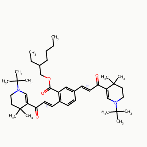 CCCCC(CC)COC(=O)c1cc(/C=C/C(=O)C2=CN(C(C)(C)C)CCC2(C)C)ccc1/C=C/C(=O)C1=CN(C(C)(C)C)CCC1(C)C